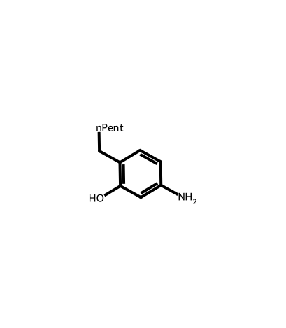 CCCCCCc1ccc(N)cc1O